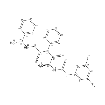 C[C@H](NC(=O)Cc1cc(F)cc(F)c1)C(=O)N(C(=O)CN[C@H](C)c1ccccc1)c1ccccc1